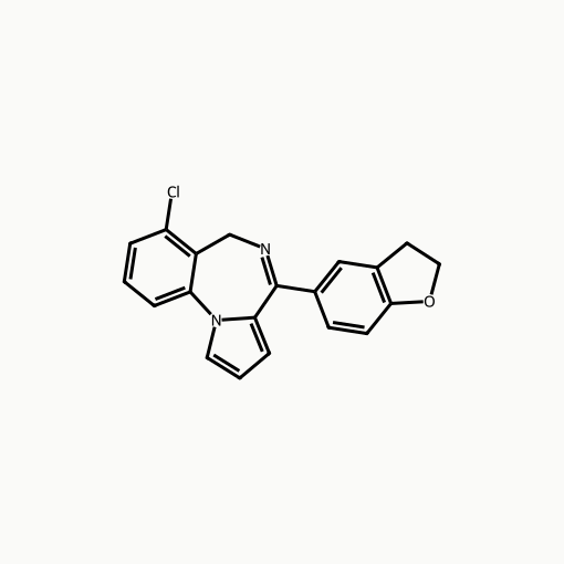 Clc1cccc2c1CN=C(c1ccc3c(c1)CCO3)c1cccn1-2